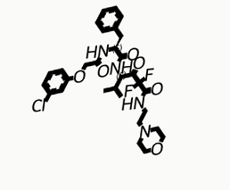 CC(C)[C@H](NC(=O)[C@H](Cc1ccccc1)NC(=O)COc1cccc(Cl)c1)C(=O)C(F)(F)C(=O)NCCN1CCOCC1